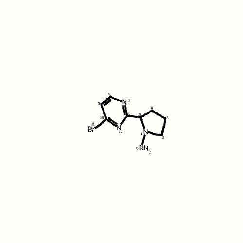 NN1CCCC1c1nccc(Br)n1